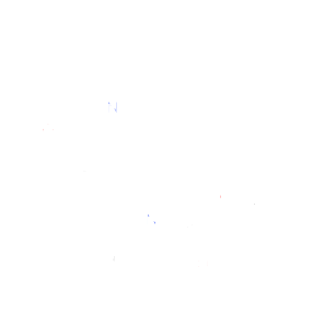 C[C@@H]1CC[C@H](C(=O)N2CCCC2)CN1C(=O)OC(C)(C)C